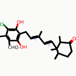 CC(/C=C/C1(C)C(C)CCC(=O)C1C)=C\Cc1c(O)c(Cl)c(C)c(C=O)c1O